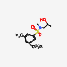 CCOC(=O)c1cc(C(F)(F)F)cc(S(=O)(=O)N(C)C[C@H](C)O)c1